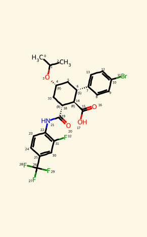 CC(C)O[C@@H]1C[C@H](c2ccc(Br)cc2)[C@@H](C(=O)O)[C@H](C(=O)Nc2ccc(C(F)(F)F)cc2F)C1